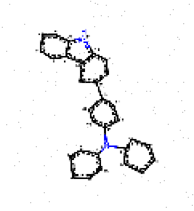 c1ccc(N(c2ccccc2)c2ccc(-c3ccc4[nH]c5ccccc5c4c3)cc2)cc1